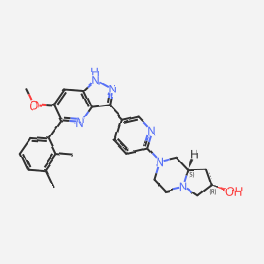 COc1cc2[nH]nc(-c3ccc(N4CCN5C[C@H](O)C[C@H]5C4)nc3)c2nc1-c1cccc(C)c1C